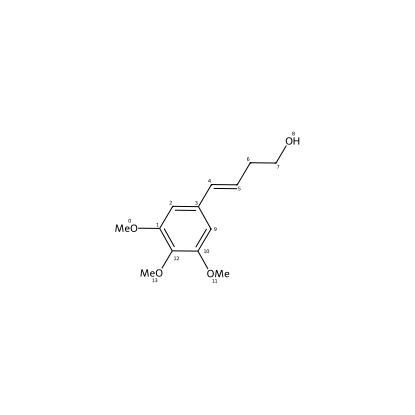 COc1cc(/C=C/CCO)cc(OC)c1OC